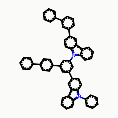 c1ccc(-c2ccc(-c3cc(-c4ccc5c(c4)c4ccccc4n5-c4ccccc4)cc(-n4c5ccccc5c5cc(-c6cccc(-c7ccccc7)c6)ccc54)c3)cc2)cc1